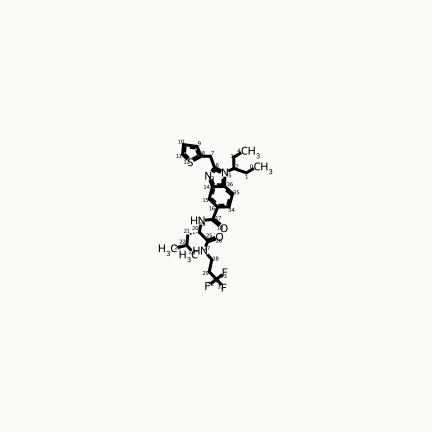 CCC(CC)n1c(Cc2cccs2)nc2cc(C(=O)N[C@@H](CC(C)C)C(=O)NCCC(F)(F)F)ccc21